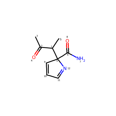 [CH2]C(C(C)=O)C1(C(N)=O)C=CC=N1